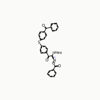 CCCCCC/C(=N/OC(=O)c1ccccc1)C(=O)c1ccc(Sc2ccc(C(=O)c3ccccc3)cc2)cc1